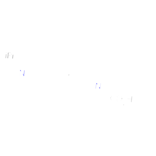 CC(C)/N=C1\CC2(CCN(C(=O)O)C2)C1C